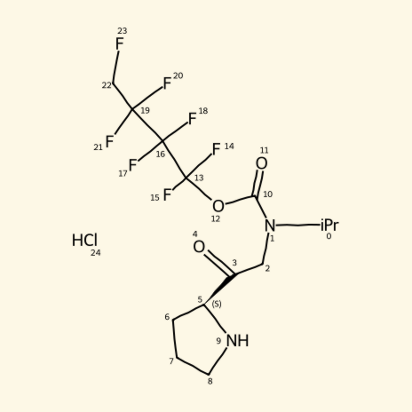 CC(C)N(CC(=O)[C@@H]1CCCN1)C(=O)OC(F)(F)C(F)(F)C(F)(F)CF.Cl